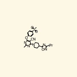 Cc1nc(Oc2ccc(S(C)(=O)=O)cc2)c(C#N)c(N2CCC(c3nc(C(C)C)no3)CC2)n1